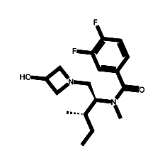 CC[C@H](C)[C@@H](CN1CC(O)C1)N(C)C(=O)c1ccc(F)c(F)c1